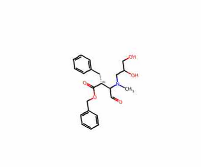 CN(CC(O)CO)C(C=O)[C@@H](Cc1ccccc1)C(=O)OCc1ccccc1